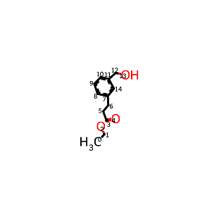 CCOC(=O)CCc1cccc(CO)c1